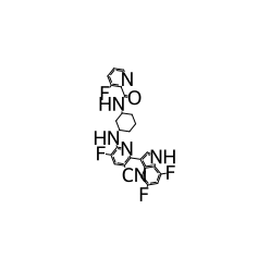 N#Cc1cc(F)c(N[C@H]2CCC[C@@H](NC(=O)c3ncccc3F)C2)nc1-c1c[nH]c2c(F)cc(F)cc12